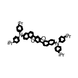 CC(C)c1ccc(N(c2ccc(C(C)C)cc2)c2ccc3c(ccc4c5cc6oc7c8ccc(N(c9ccc(C(C)C)cc9)c9ccc(C(C)C)cc9)cc8ccc7c6cc5oc34)c2)cc1